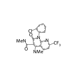 CNC(=O)c1c(NC)c2ccc(C(F)(F)F)nc2n(-c2ccccc2Cl)c1=O